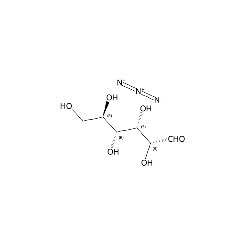 O=C[C@H](O)[C@@H](O)[C@H](O)[C@H](O)CO.[N-]=[N+]=[N-]